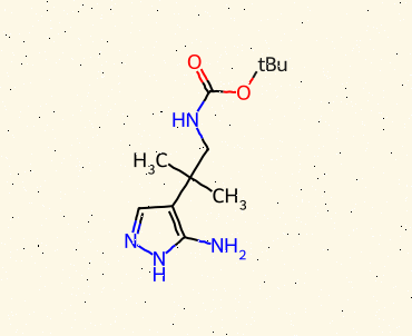 CC(C)(C)OC(=O)NCC(C)(C)c1cn[nH]c1N